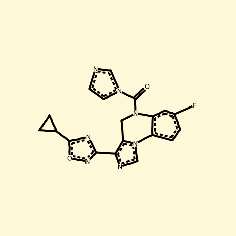 O=C(N1Cc2c(-c3noc(C4CC4)n3)ncn2-c2ccc(F)cc21)n1ccnc1